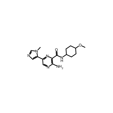 COC1CCC(NC(=O)c2nc(-c3cncn3C)cnc2N)CC1